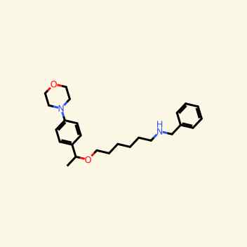 CC(OCCCCCCNCc1ccccc1)c1ccc(N2CCOCC2)cc1